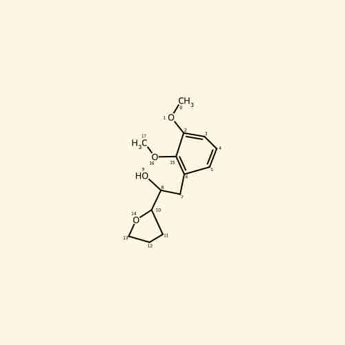 COc1cccc(CC(O)C2CCCO2)c1OC